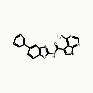 Nc1ncnc2[nH]cc(C(=O)Nc3nc4cc(-c5ccccc5)ccc4o3)c12